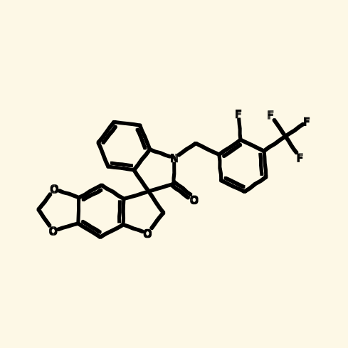 O=C1N(Cc2cccc(C(F)(F)F)c2F)c2ccccc2C12COc1cc3c(cc12)OCO3